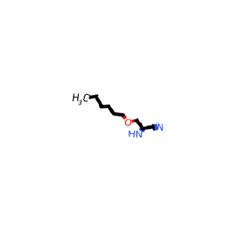 CCCCCCOCC(=N)C#N